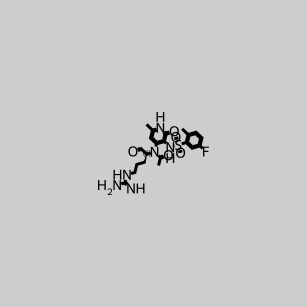 CC(=O)N(c1cc(C)[nH]c(=O)c1NS(=O)(=O)c1cc(F)ccc1C)[C@H](C=O)CCCNC(=N)N